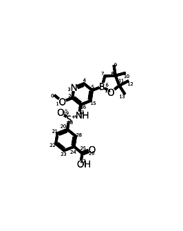 COc1ncc(B2CC(C)(C)C(C)(C)O2)cc1N[S+]([O-])c1cccc(C(=O)O)c1